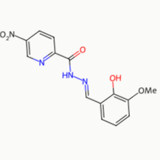 COc1cccc(C=NNC(=O)c2ccc([N+](=O)[O-])cn2)c1O